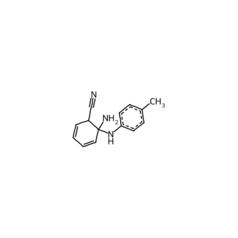 Cc1ccc(NC2(N)C=CC=CC2C#N)cc1